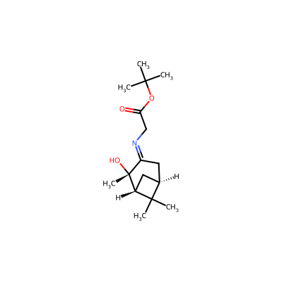 CC(C)(C)OC(=O)CN=C1C[C@@H]2C[C@H](C2(C)C)[C@]1(C)O